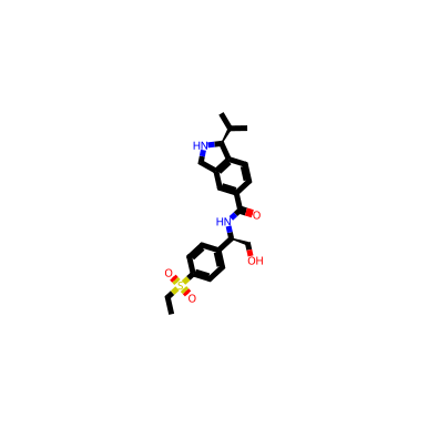 CCS(=O)(=O)c1ccc([C@H](CO)NC(=O)c2ccc3c(c2)CN[C@H]3C(C)C)cc1